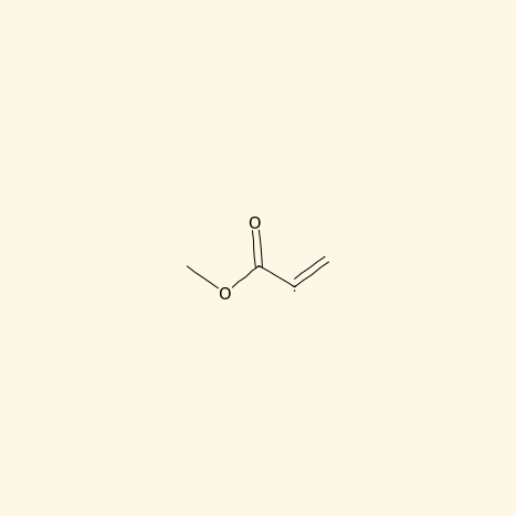 C=[C]C(=O)OC